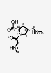 CNCC(=O)N1C[C@@H](CNC)C[C@H]1C(=O)O